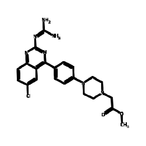 COC(=O)CN1CCN(c2ccc(-c3nc(N=C(N)N)nc4ccc(Cl)cc34)cc2)CC1